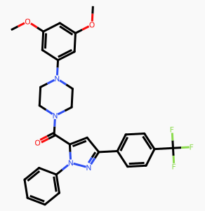 COc1cc(OC)cc(N2CCN(C(=O)c3cc(-c4ccc(C(F)(F)F)cc4)nn3-c3ccccc3)CC2)c1